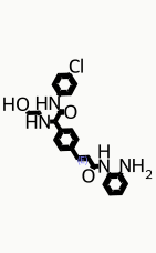 Nc1ccccc1NC(=O)/C=C/c1ccc(C(NCCO)C(=O)Nc2ccc(Cl)cc2)cc1